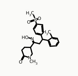 Cc1ccccc1C(CC(=NO)C1CCC(=O)N(C)C1)c1ccc(S(C)(=O)=O)cc1